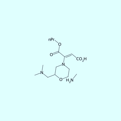 CCCOC(=O)/C(=C/C(=O)O)N1CCOC(CN(C)C)C1.CN